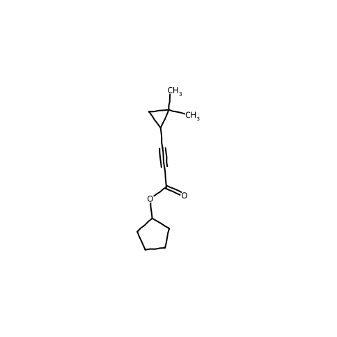 CC1(C)CC1C#CC(=O)OC1CCCC1